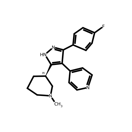 CN1CCC[C@@H](c2[nH]nc(-c3ccc(F)cc3)c2-c2ccncc2)C1